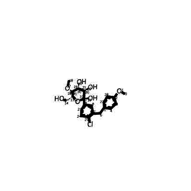 COc1ccc(Cc2cc([C@]3(O)O[C@H](CO)[C@H](OC)[C@H](O)[C@H]3O)ccc2Cl)cc1